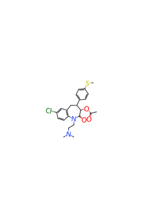 CSc1ccc(C2Cc3cc(Cl)ccc3N(CCN(C)C)C(=O)C2OC(C)=O)cc1